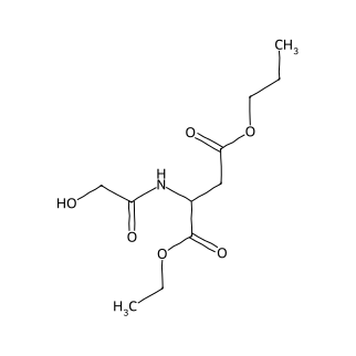 CCCOC(=O)CC(NC(=O)CO)C(=O)OCC